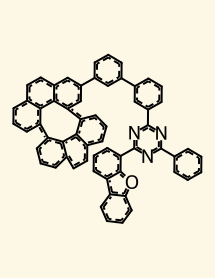 c1ccc(-c2nc(-c3cccc(-c4cccc(-c5cc6ccc7cccc8c9cccc%10ccc%11cccc(c(c5)c6c78)c%11c%109)c4)c3)nc(-c3cccc4c3oc3ccccc34)n2)cc1